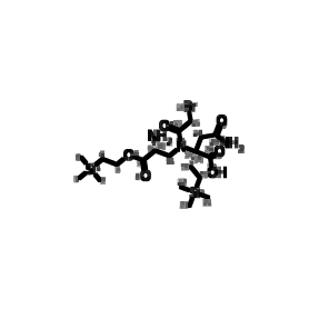 C[Si](C)(C)CCOC(=O)[C@H](N)CN(C(=O)CBr)[C@@](CC[Si](C)(C)C)(CC(N)=O)C(=O)O